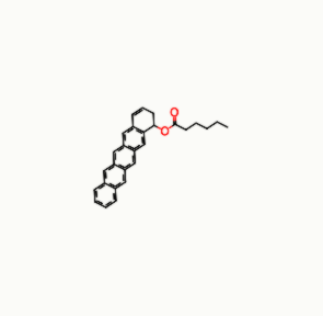 CCCCCC(=O)OC1CC=Cc2cc3cc4cc5ccccc5cc4cc3cc21